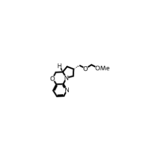 COCOC[C@H]1C[C@H]2COc3cccnc3N2C1